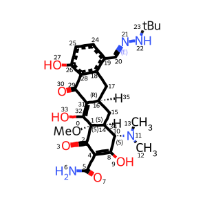 CO[C@@]12C(=O)C(C(N)=O)=C(O)[C@@H](N(C)C)[C@@H]1C[C@@H]1Cc3c(/C=N/NC(C)(C)C)ccc(O)c3C(=O)C1=C2O